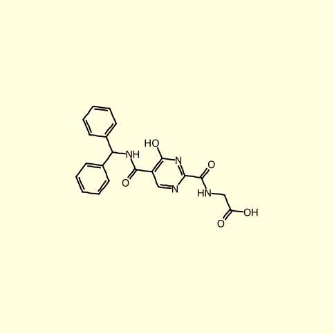 O=C(O)CNC(=O)c1ncc(C(=O)NC(c2ccccc2)c2ccccc2)c(O)n1